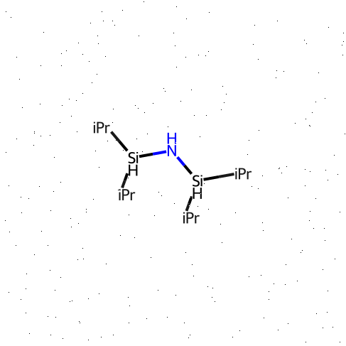 CC(C)[SiH](N[SiH](C(C)C)C(C)C)C(C)C